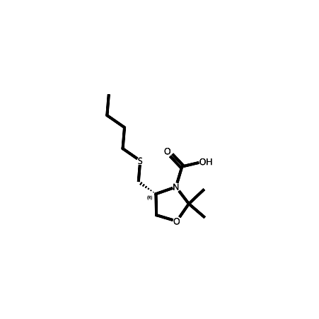 CCCCSC[C@H]1COC(C)(C)N1C(=O)O